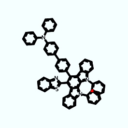 c1ccc(N(c2ccccc2)c2ccc(-c3ccc(-c4c(-c5nc6ccccc6s5)c5c6ccccc6n(-c6ccccc6)c5c5c4c4ccccc4n5-c4ccccc4)cc3)cc2)cc1